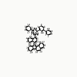 c1ccc(-c2cccc(-c3nc(-c4ccccc4)nc(-c4ccc(-n5c6ccccc6c6ccc7ccccc7c65)c5ccccc45)n3)c2)cc1